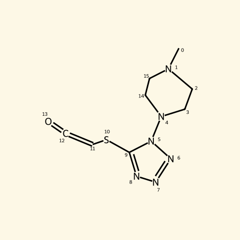 CN1CCN(n2nnnc2SC=C=O)CC1